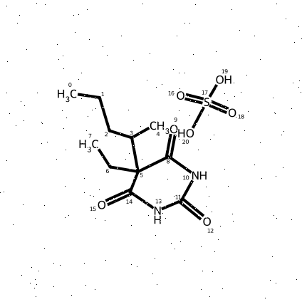 CCCC(C)C1(CC)C(=O)NC(=O)NC1=O.O=S(=O)(O)O